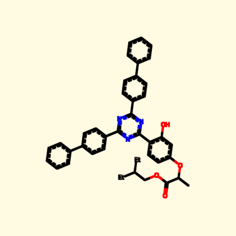 CCC(CC)COC(=O)C(C)Oc1ccc(-c2nc(-c3ccc(-c4ccccc4)cc3)nc(-c3ccc(-c4ccccc4)cc3)n2)c(O)c1